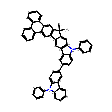 CC1(C)c2cc3c4ccccc4c4ccccc4c3cc2-c2cc3c4cc(-c5ccc6c(c5)c5ccccc5n6-c5ccccc5)ccc4n(-c4ccccc4)c3cc21